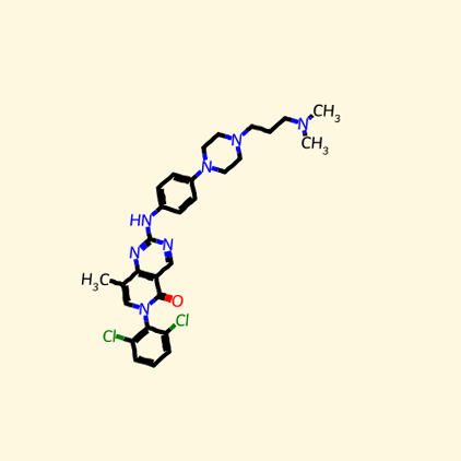 Cc1cn(-c2c(Cl)cccc2Cl)c(=O)c2cnc(Nc3ccc(N4CCN(CCCN(C)C)CC4)cc3)nc12